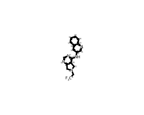 FC(F)(F)CN1Cc2ncnc(Nc3cnc4ccccc4c3)c2C1